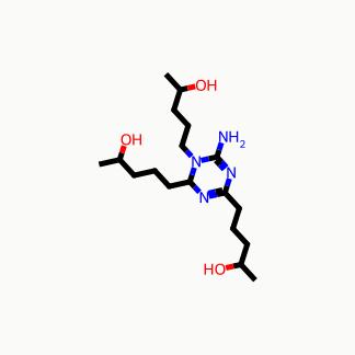 CC(O)CCCC1=NC(CCCC(C)O)N(CCCC(C)O)C(N)=N1